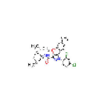 Cc1ccc2c(c1)oc1c(C(=O)N[C@H]3C[C@@H](C)CC[C@@H]3C(C)C)nn(-c3ccc(Cl)cc3Cl)c12